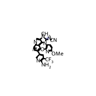 COc1ccc(-n2/c(=N\C#N)n(C)c3cnc4ccc(-c5cnc(N)c(C(F)(F)F)c5)cc4c32)c(OC)n1